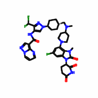 CN(C[C@H]1CC[C@H](n2cc(NC(=O)c3cnn4cccnc34)c(C(F)F)n2)CC1)C1CCN(c2cc(F)cc3c2n(C)c(=O)n3C2CCC(=O)NC2=O)CC1